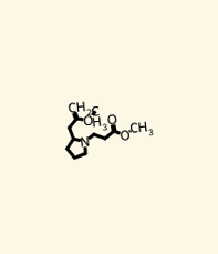 C=C(CC1CCCN1CCC(=O)OC)OC